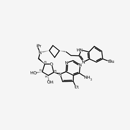 CCc1cn([C@@H]2O[C@H](CN(C(C)C)[C@H]3C[C@@H](CCc4nc5cc(C(C)(C)C)ccc5[nH]4)C3)[C@@H](O)[C@H]2O)c2ncnc(N)c12